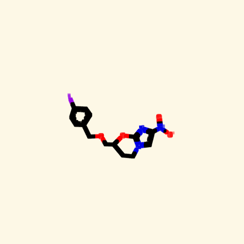 O=[N+]([O-])c1cn2c(n1)OC(COCc1ccc(I)cc1)CC2